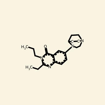 CCCn1c(CC)nc2ccc(N3CCN4CCC3CC4)cc2c1=O